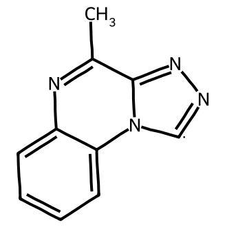 Cc1nc2ccccc2n2[c]nnc12